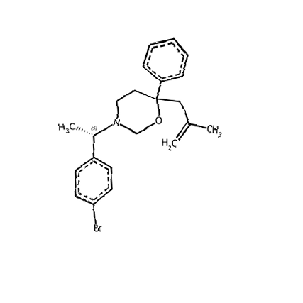 C=C(C)CC1(c2ccccc2)CCN([C@@H](C)c2ccc(Br)cc2)CO1